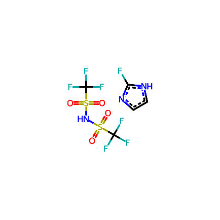 Fc1ncc[nH]1.O=S(=O)(NS(=O)(=O)C(F)(F)F)C(F)(F)F